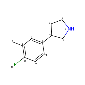 Cc1cc(C2CCNC2)ccc1F